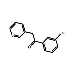 CC(C)c1cccc(C(=O)Cc2cccnc2)c1